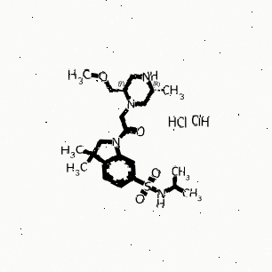 COC[C@H]1CN[C@H](C)CN1CC(=O)N1CC(C)(C)c2ccc(S(=O)(=O)NC(C)C)cc21.Cl.Cl